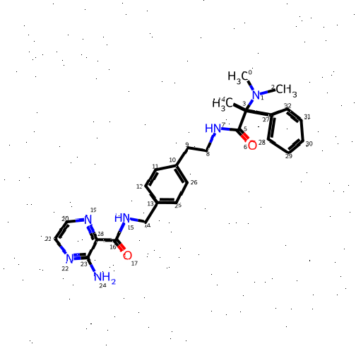 CN(C)C(C)(C(=O)NCCc1ccc(CNC(=O)c2nccnc2N)cc1)c1ccccc1